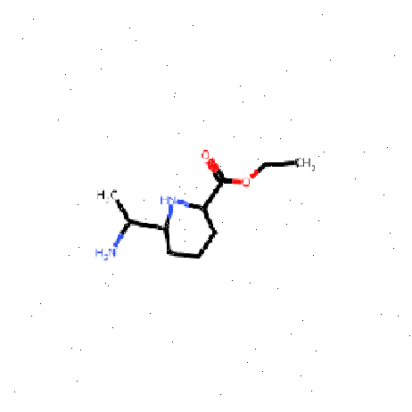 CCOC(=O)C1CCCC(C(C)N)N1